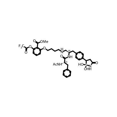 COC(=O)c1c(OCCCCNC[C@@H](Cc2ccc(C3CC(=O)NS3(O)O)cc2)NC(=O)[C@H](Cc2ccccc2)NC(C)=O)cccc1OC(=O)C(F)(F)F